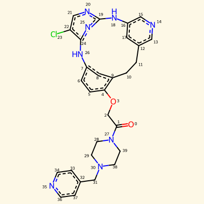 O=C(COc1ccc2cc1CCc1cncc(c1)Nc1ncc(Cl)c(n1)N2)N1CCN(Cc2ccncc2)CC1